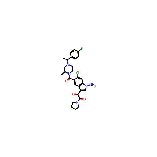 CC(c1ccc(F)cc1)N1CCN(C(=O)c2cc3c(C(=O)C(=O)N4CCCC4)cn(N)c3cc2Cl)C(C)C1